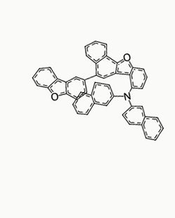 c1ccc2cc(N(c3ccc4ccccc4c3)c3cccc4oc5c6ccccc6c(-c6ccc7oc8ccccc8c7c6)cc5c34)ccc2c1